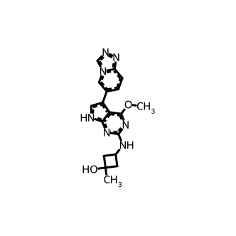 COc1nc(NC2CC(C)(O)C2)nc2[nH]cc(-c3ccc4nncn4c3)c12